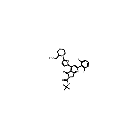 CC(C)(C)OC(=O)N1Cc2nc(-c3c(F)cccc3F)cc(-n3ccc(N4CCOCC4CO)n3)c2C1=O